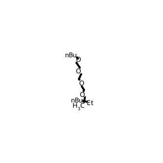 CCCCOCCOCCOCCOCC(C)(CC)CCCC